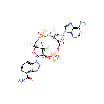 NC(=O)c1cccc2c1nnn2[C@@H]1O[C@@H]2CO[P@@](=O)(S)O[C@H]3[C@@H](F)[C@H](n4cnc5c(N)ncnc54)O[C@@H]3CO[P@@](=O)(S)O[C@@H]1[C@@H]2F